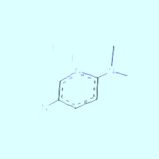 CN(C)c1ccc(N)cn1.Cl.Cl